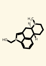 CN1CCC[C@@H]2c3cccc4c3c(cn4CO)C[C@H]21